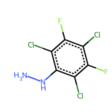 NNc1c(Cl)c(F)c(Cl)c(F)c1Cl